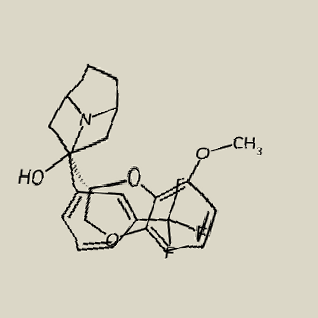 COc1cccc2c1O[C@@H](CN1C3CCC1CC(O)(c1cccc(C(F)(F)F)c1)C3)CO2